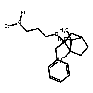 CCN(CC)CCCOC1(Cc2ccccc2)CC2CCC1(C)C2(C)C